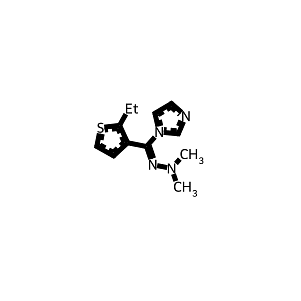 CCc1sccc1C(=NN(C)C)n1ccnc1